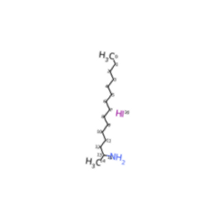 CCCCCCCCCCCCCC(C)N.I